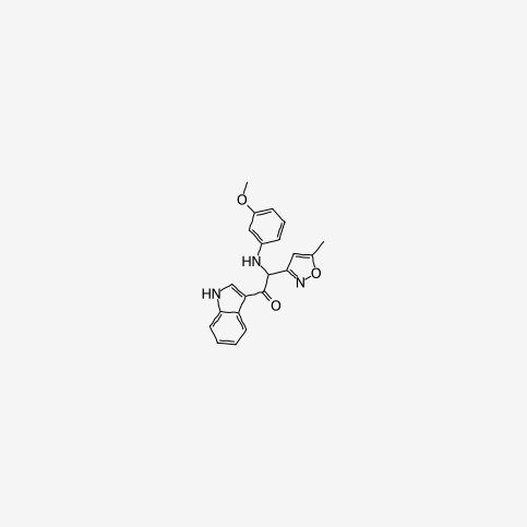 COc1cccc(NC(C(=O)c2c[nH]c3ccccc23)c2cc(C)on2)c1